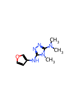 CN(C)c1nnc(Nc2ccoc2)n1C